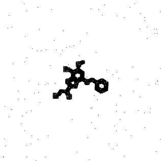 COc1cc(OCc2ccccc2)c2cc(C(=O)CBr)oc2c1Br